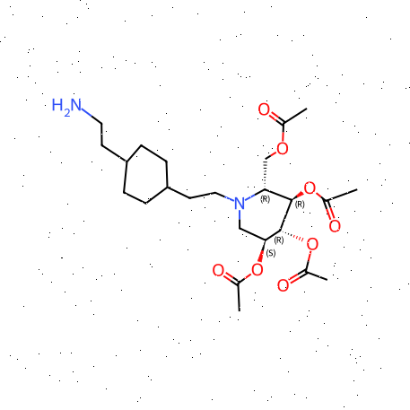 CC(=O)OC[C@@H]1[C@@H](OC(C)=O)[C@H](OC(C)=O)[C@@H](OC(C)=O)CN1CCC1CCC(CCN)CC1